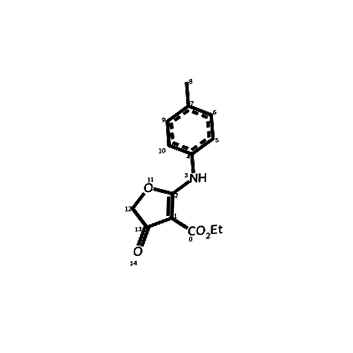 CCOC(=O)C1=C(Nc2ccc(C)cc2)OCC1=O